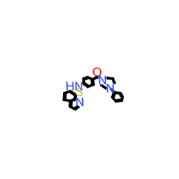 O=C(c1ccc(NSc2cccc3cccnc23)cc1)N1CCCN(c2ccccc2)CC1